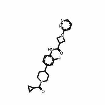 O=C(Nc1ccc(C2CCN(C(=O)C3CC3)CC2)cc1F)C1CN(c2cccnn2)C1